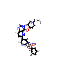 CN1CCC(Oc2ncnc3ccc(-c4cncc(NS(=O)(=O)c5ccccc5)c4)nc23)CC1